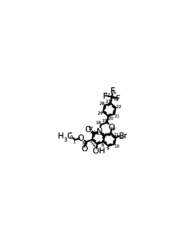 CCOC(=O)c1c(O)c2ccc(Br)c3c2n(c1=O)CC(c1ccc(C(F)(F)F)cc1)O3